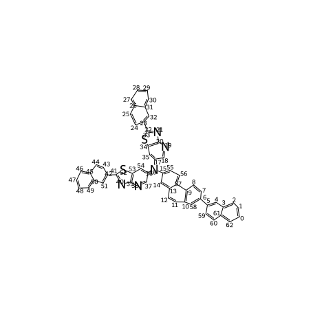 c1ccc2cc(-c3ccc4c(ccc5cc(N(c6cnc7nc(-c8ccc9ccccc9c8)sc7c6)c6cnc7nc(-c8ccc9ccccc9c8)sc7c6)ccc54)c3)ccc2c1